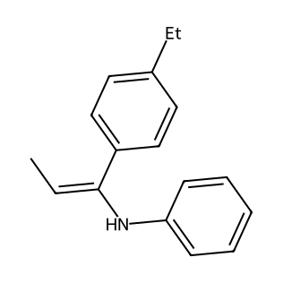 CC=C(Nc1ccccc1)c1ccc(CC)cc1